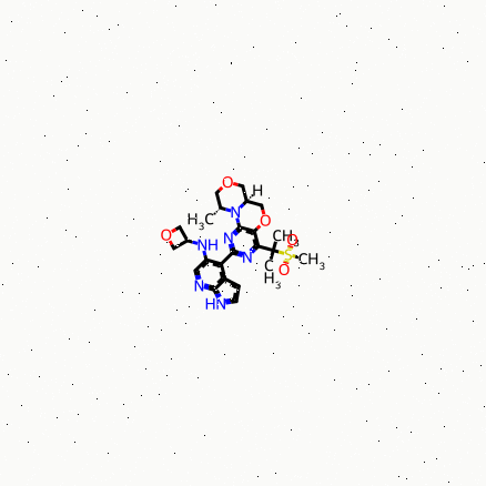 C[C@@H]1COC[C@H]2COc3c(nc(-c4c(NC5COC5)cnc5[nH]ccc45)nc3C(C)(C)S(C)(=O)=O)N21